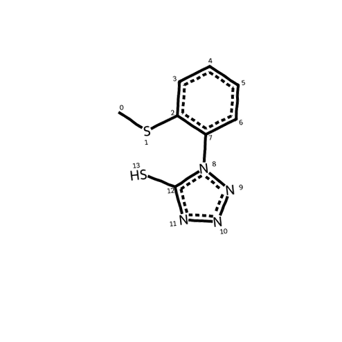 CSc1ccccc1-n1nnnc1S